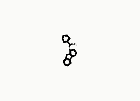 NC(Oc1cccc2c1Cc1ccccc1-2)c1ccccc1